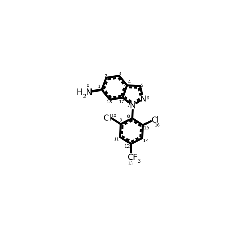 Nc1ccc2cnn(-c3c(Cl)cc(C(F)(F)F)cc3Cl)c2c1